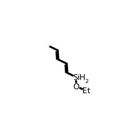 CC=CC=C[SiH2]OCC